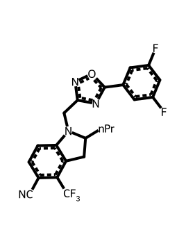 CCCC1Cc2c(ccc(C#N)c2C(F)(F)F)N1Cc1noc(-c2cc(F)cc(F)c2)n1